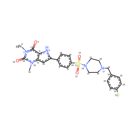 CCCn1c(=O)c2[nH]c(-c3ccc(S(=O)(=O)N4CCN(Cc5ccc(F)cc5)CC4)cc3)cc2n(C)c1=O